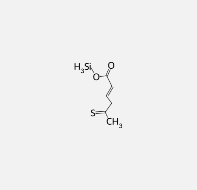 CC(=S)CC=CC(=O)O[SiH3]